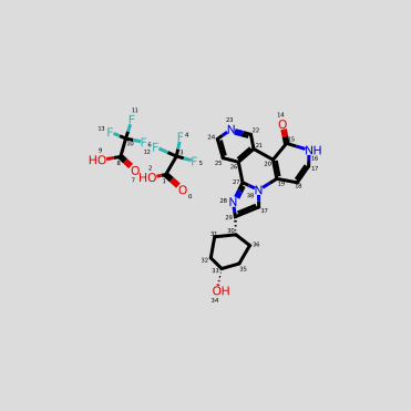 O=C(O)C(F)(F)F.O=C(O)C(F)(F)F.O=c1[nH]ccc2c1c1cnccc1c1nc([C@H]3CC[C@@H](O)CC3)cn21